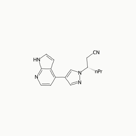 CCC[C@@H](CC#N)n1cc(-c2ccnc3[nH]ccc23)cn1